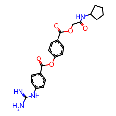 N=C(N)Nc1ccc(C(=O)Oc2ccc(C(=O)OCC(=O)NC3CCCC3)cc2)cc1